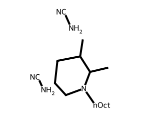 CCCCCCCCN1CCCC(C)C1C.N#CN.N#CN